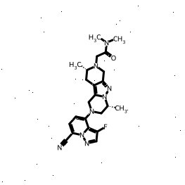 C[C@@H]1CN(c2ccc(C#N)n3ncc(F)c23)Cc2c3c(nn21)CN(CC(=O)N(C)C)[C@@H](C)C3